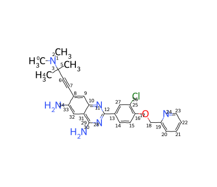 CN(C)C(C)(C)C#Cc1cc2nc(-c3ccc(OCc4ccccn4)c(Cl)c3)nc(N)c2cc1N